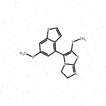 CSC1=C(c2cc(SC)cc3sccc23)N2CCN=C2S1